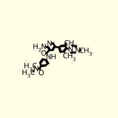 Cc1cc(-c2cnc(N)c(C(=O)Nc3ccc(C(=O)N(C)C)cc3)c2)cc(C)c1N1CCN(C)CC1